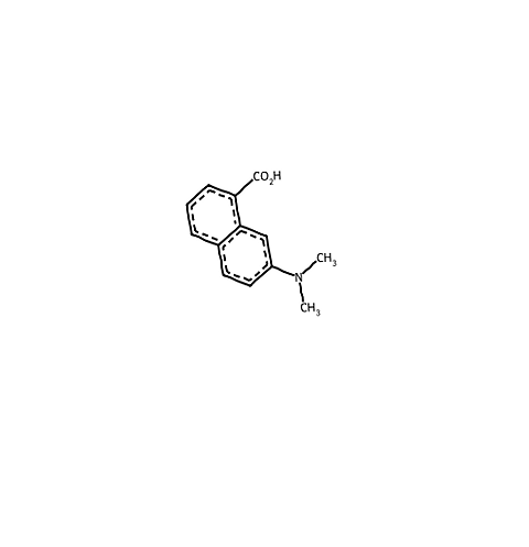 CN(C)c1ccc2cccc(C(=O)O)c2c1